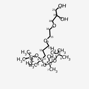 C[Si](C)(C)O[Si](C)(C)O[Si](C)(CCCOCCOCC(O)CO)O[Si](C)(C)C